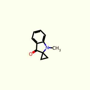 CN1c2ccccc2C(=O)C12CC2